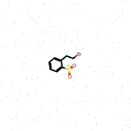 O=[SH](=O)c1ccccc1CCBr